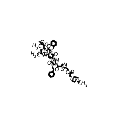 CC(C)C[C@H](NC(=O)[C@H](Cc1ccccc1)N1C(=O)[C@@H](NC(=O)[C@H](CCc2ccccc2)NC(=O)c2cnc(COC(=O)CN3CCN(C)CC3)s2)CC1C)C(=O)C1(C)CO1